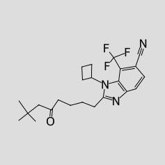 CC(C)(C)CC(=O)CCCCc1nc2ccc(C#N)c(C(F)(F)F)c2n1C1CCC1